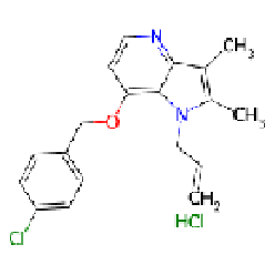 C=CCn1c(C)c(C)c2nccc(OCc3ccc(Cl)cc3)c21.Cl